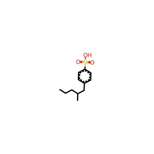 CCCC(C)Cc1ccc(S(=O)(=O)O)cc1